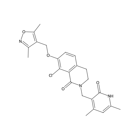 Cc1cc(C)c(CN2CCc3ccc(OCc4c(C)noc4C)c(Cl)c3C2=O)c(=O)[nH]1